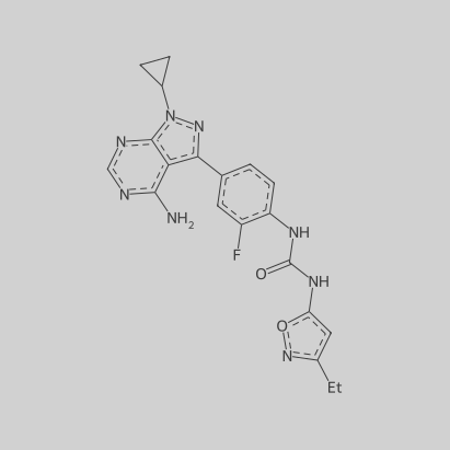 CCc1cc(NC(=O)Nc2ccc(-c3nn(C4CC4)c4ncnc(N)c34)cc2F)on1